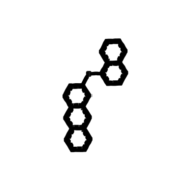 [c]1c(Oc2cccc3ccccc23)ccc2cc3ccccc3cc12